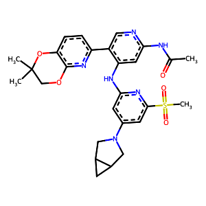 CC(=O)Nc1cc(Nc2cc(N3CC4CC4C3)cc(S(C)(=O)=O)n2)c(-c2ccc3c(n2)OCC(C)(C)O3)cn1